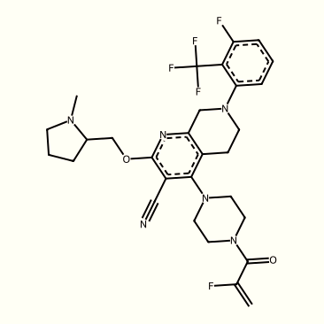 C=C(F)C(=O)N1CCN(c2c(C#N)c(OCC3CCCN3C)nc3c2CCN(c2cccc(F)c2C(F)(F)F)C3)CC1